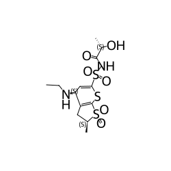 CCN[C@H]1C=C(S(=O)(=O)NC(=O)[C@H](C)O)SC2=C1C[C@H](C)S2(=O)=O